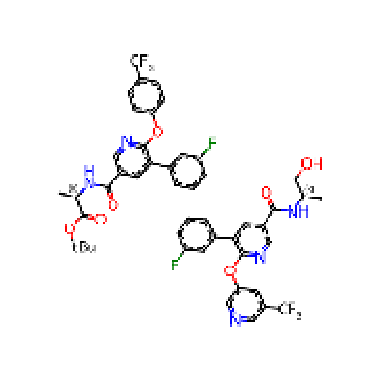 C[C@@H](NC(=O)c1cnc(Oc2ccc(C(F)(F)F)cc2)c(-c2cccc(F)c2)c1)C(=O)OC(C)(C)C.C[C@H](CO)NC(=O)c1cnc(Oc2cncc(C(F)(F)F)c2)c(-c2cccc(F)c2)c1